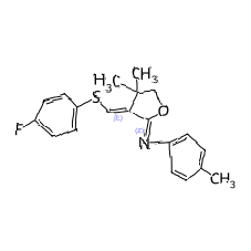 Cc1ccc(/N=C2\OCC(C)(C)\C2=C/Sc2ccc(F)cc2)cc1